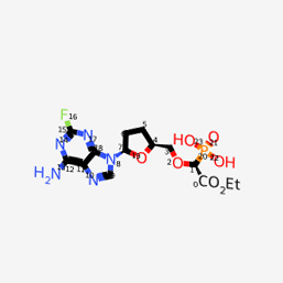 CCOC(=O)[C@@H](OC[C@@H]1CC[C@H](n2cnc3c(N)nc(F)nc32)O1)P(=O)(O)O